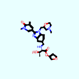 Cc1cc(-c2nc3cc(CN[C@H](C(=O)O[C@H]4CCOC4)[C@@H](C)O)ccc3n2CC2CN(C)CCO2)cn(C)c1=O